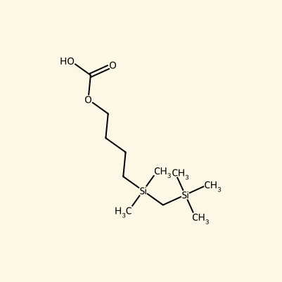 C[Si](C)(C)C[Si](C)(C)CCCCOC(=O)O